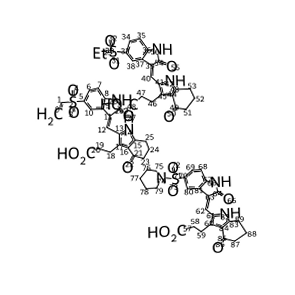 C=CS(=O)(=O)c1ccc2c(c1)/C(=C/c1[nH]c3c(c1CCC(=O)O)C(=O)CCC3)C(=O)N2.CCS(=O)(=O)c1ccc2c(c1)/C(=C/c1[nH]c3c(c1CCC(=O)O)C(=O)CCC3)C(=O)N2.O=C(O)CCc1c(/C=C2\C(=O)Nc3ccc(S(=O)(=O)N4CCCCC4)cc32)[nH]c2c1C(=O)CCC2